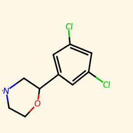 Clc1cc(Cl)cc(C2C[N]CCO2)c1